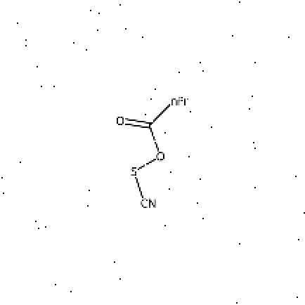 CCCC(=O)OSC#N